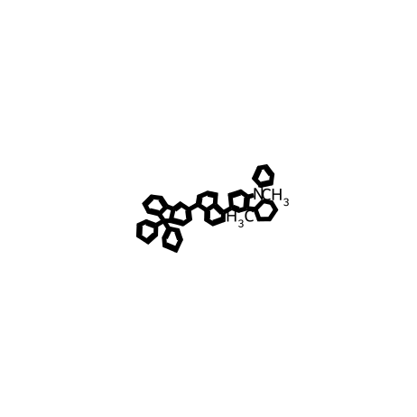 CC12CCCCC1(C)N(c1ccccc1)c1ccc(-c3cccc4c(-c5ccc6c(c5)-c5ccccc5C6(c5ccccc5)c5ccccc5)cccc34)cc12